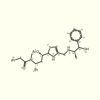 CC(=O)O[C@H](C[C@H](C(C)C)N(C)C(=O)CC(C)C)C1NC(CN[C@H](C)C(O)c2ccccc2)=CS1